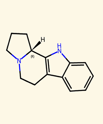 c1ccc2c3c([nH]c2c1)[C@H]1CCCN1CC3